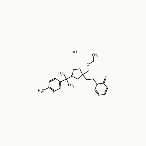 CCOCC1(CCn2ccccc2=O)CCN(C(C)(C)c2ccc(C)nc2)C1.Cl